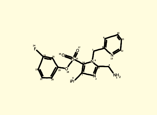 CC(C)c1nc(CN)n(Cc2ccccn2)c1S(=O)(=O)Oc1cccc(F)c1